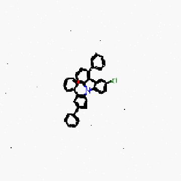 Clc1ccc2c(c1)c1c(-c3ccccc3)cccc1n2-c1ccc(-c2ccccc2)cc1-c1ccccc1